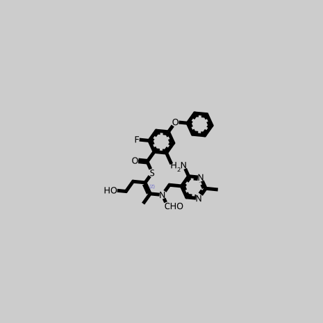 C/C(=C(\CCO)SC(=O)c1c(C)cc(Oc2ccccc2)cc1F)N(C=O)Cc1cnc(C)nc1N